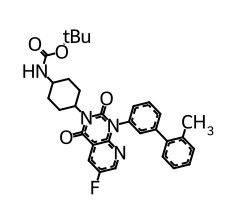 Cc1ccccc1-c1cccc(-n2c(=O)n(C3CCC(NC(=O)OC(C)(C)C)CC3)c(=O)c3cc(F)cnc32)c1